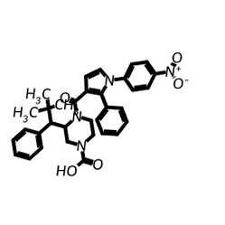 CC(C)(C)C(c1ccccc1)C1CN(C(=O)O)CCN1C(=O)c1ccn(-c2ccc([N+](=O)[O-])cc2)c1-c1ccccc1